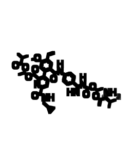 C=Cc1cc(C(=O)Nc2ccc(C(=N)NC(=O)OC(C)OC(=C)[C@@H](N)C(C)C)cc2)c(-c2ccc(C(=O)NCC3CC3)nc2C(=O)OC(C)OC(=O)C(C)C)cc1OC